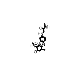 CCNC(=O)CNc1ccc(N=C2C=C(NC(=O)OCC)C(=O)C=C2C)cc1